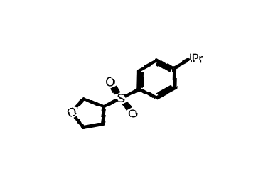 CC(C)c1ccc(S(=O)(=O)C2CCOC2)cc1